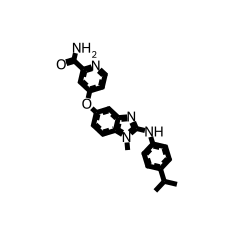 CC(C)c1ccc(Nc2nc3cc(Oc4ccnc(C(N)=O)c4)ccc3n2C)cc1